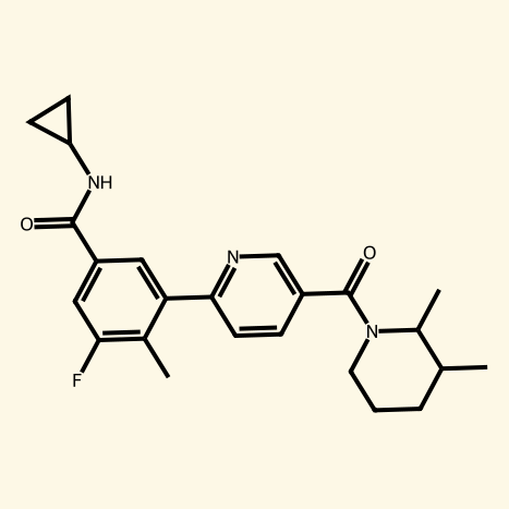 Cc1c(F)cc(C(=O)NC2CC2)cc1-c1ccc(C(=O)N2CCCC(C)C2C)cn1